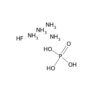 F.N.N.N.N.O=P(O)(O)O